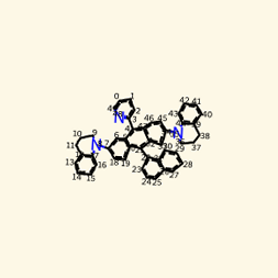 c1ccc(-c2c3cc(N4CCCc5ccccc54)ccc3c(-c3cccc4ccccc34)c3cc(N4CCCc5ccccc54)ccc23)nc1